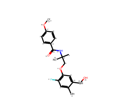 CCCc1cc(F)c(OCC(C)(C#N)NC(=O)c2ccc(OC(F)(F)F)cc2)cc1BO